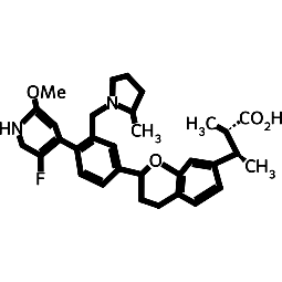 COC1=CC(c2ccc(C3CCc4ccc([C@H](C)[C@H](C)C(=O)O)cc4O3)cc2CN2CCCC2C)=C(F)CN1